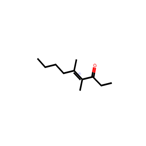 CCCC/C(C)=C(\C)C(=O)CC